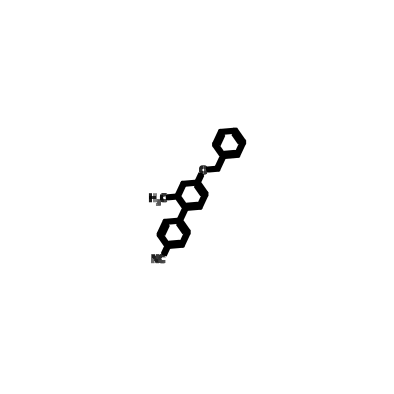 CC1CC(OCc2ccccc2)=CC=C1c1ccc(C#N)cc1